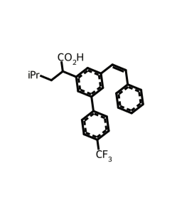 CC(C)CC(C(=O)O)c1cc(/C=C\c2ccccc2)cc(-c2ccc(C(F)(F)F)cc2)c1